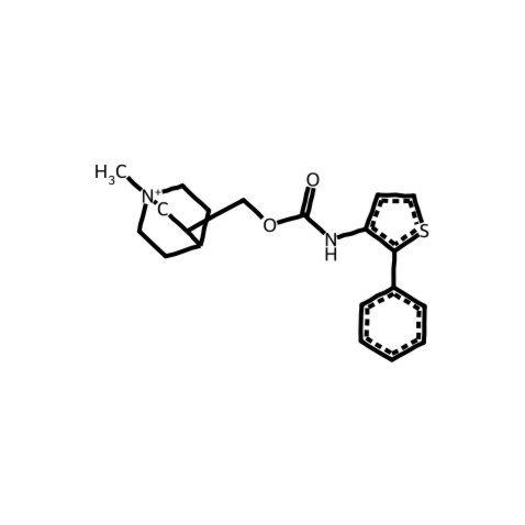 C[N+]12CCC(CC1)C(COC(=O)Nc1ccsc1-c1ccccc1)C2